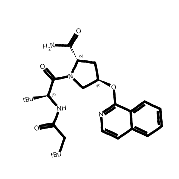 CC(C)(C)CC(=O)N[C@H](C(=O)N1C[C@H](Oc2nccc3ccccc23)C[C@H]1C(N)=O)C(C)(C)C